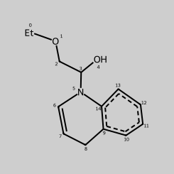 CCOCC(O)N1C=CCc2ccccc21